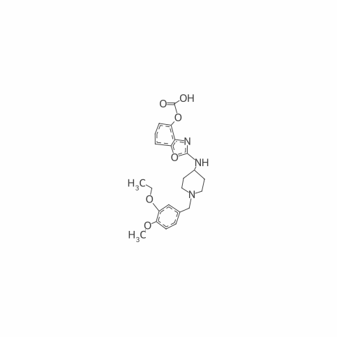 CCOc1cc(CN2CCC(Nc3nc4c(OC(=O)O)cccc4o3)CC2)ccc1OC